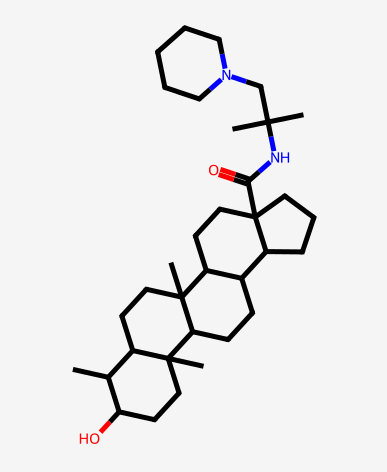 CC1C(O)CCC2(C)C1CCC1(C)C3CCC4(C(=O)NC(C)(C)CN5CCCCC5)CCCC4C3CCC21